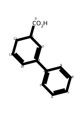 O=C(O)C1C=C(c2ccccc2)C=CC1